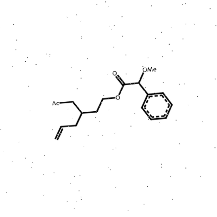 C=CCC(CCOC(=O)C(OC)c1ccccc1)CC(C)=O